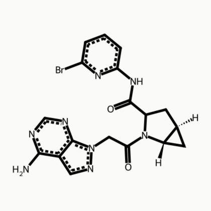 Nc1ncnc2c1cnn2CC(=O)N1C(C(=O)Nc2cccc(Br)n2)C[C@H]2C[C@@H]21